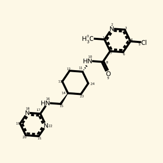 Cc1ncc(Cl)cc1C(=O)N[C@H]1CC[C@H](CNc2ncccn2)CC1